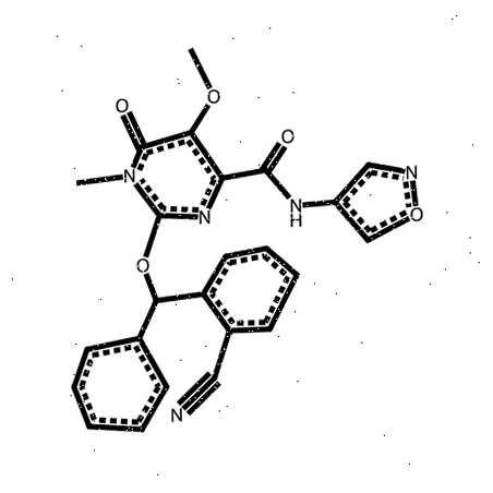 COc1c(C(=O)Nc2cnoc2)nc(OC(c2ccccc2)c2ccccc2C#N)n(C)c1=O